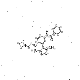 Cc1noc(C)c1-c1cc(NC(=O)c2ccccc2)ccc1OCCN1CCC1